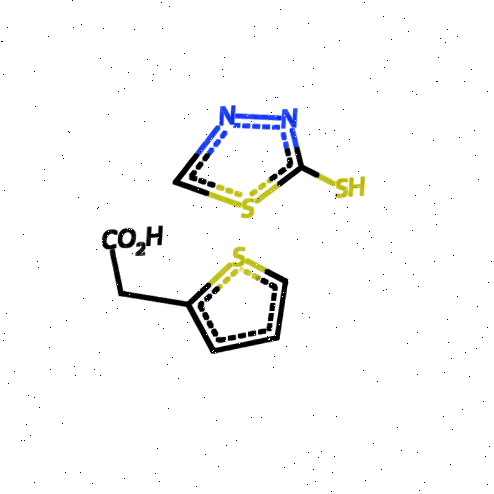 O=C(O)Cc1cccs1.Sc1nncs1